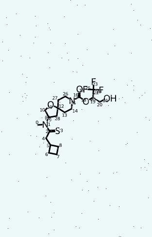 CN(C(=S)CC1CCC1)[C@H]1COC2(CCN(C(=O)O[C@H](CO)C(F)(F)F)CC2)C1